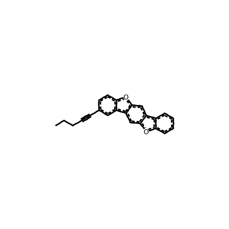 CCCC#Cc1ccc2oc3cc4c(cc3c2c1)oc1ccccc14